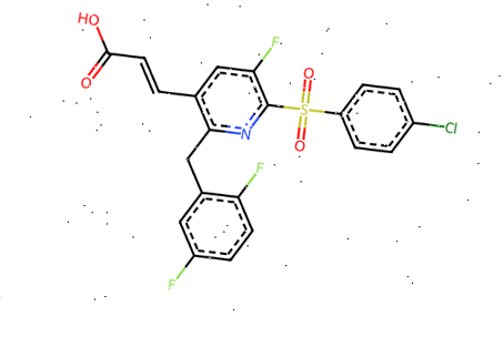 O=C(O)C=Cc1cc(F)c(S(=O)(=O)c2ccc(Cl)cc2)nc1Cc1cc(F)ccc1F